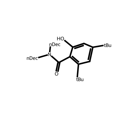 CCCCCCCCCCN(CCCCCCCCCC)C(=O)c1c(O)cc(C(C)(C)C)cc1C(C)(C)C